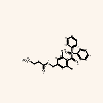 Cc1cc(COC(=O)CCC(=O)O)cc(C)c1C(=O)P(=O)(c1ccccc1)c1ccccc1